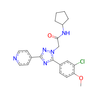 COc1ccc(-c2nc(-c3ccncc3)nn2CC(=O)NC2CCCC2)cc1Cl